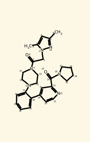 Cc1cc(C)n(CC(=O)N2CCN(c3ccccc3-c3ccnc(C(=O)N4CCCC4)c3)CC2)n1